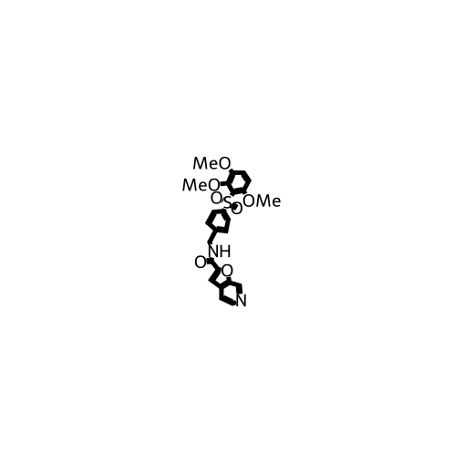 COc1ccc(OC)c(S(=O)(=O)c2ccc(CNC(=O)c3cc4ccncc4o3)cc2)c1OC